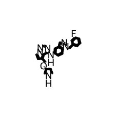 Fc1cccc(Cn2ncc3cc(Nc4ncnn5ccc(CO[C@@H]6CCNC6)c45)ccc32)c1